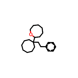 c1ccc(CCC2(C3CCCCCCO3)CCCCCCC2)cc1